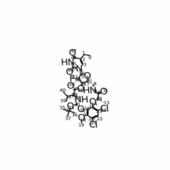 CCc1cn([C@@H]2O[C@H](CNC(=O)[C@H](C)Oc3cc(OC)c(Cl)cc3Cl)[C@@H](OC(=O)[C@@H](NC(=O)OC(C)(C)C)C(C)C)[C@@H]2F)c(=O)[nH]c1=O